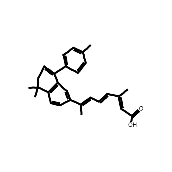 CC(C=CC=C(C)c1ccc2c(c1)C(c1ccc(C)cc1)=CCC2(C)C)=CC(=O)O